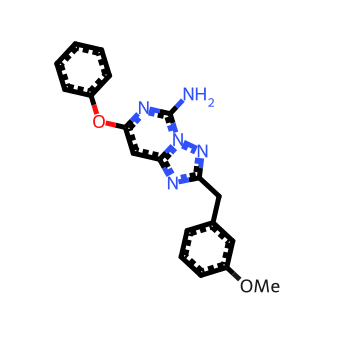 COc1cccc(Cc2nc3cc(Oc4ccccc4)nc(N)n3n2)c1